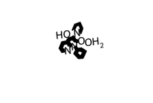 O.O=c1c(N2CCCCC2)c(O)c2cccnc2n1-c1ccccc1